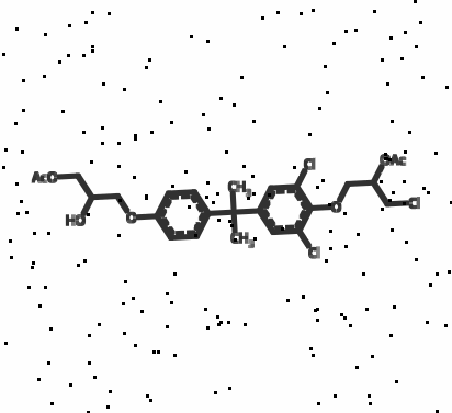 CC(=O)OCC(O)COc1ccc(C(C)(C)c2cc(Cl)c(OCC(CCl)OC(C)=O)c(Cl)c2)cc1